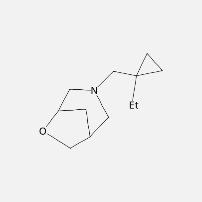 CCC1(CN2CC3COC(C3)C2)CC1